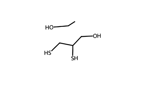 CCO.OCC(S)CS